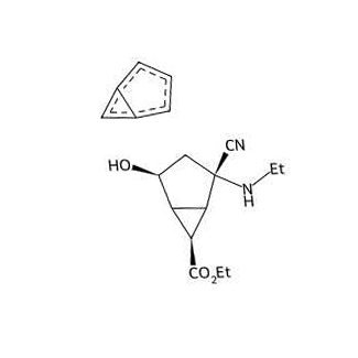 CCN[C@@]1(C#N)C[C@H](O)C2C1[C@H]2C(=O)OCC.c1cc2cc-2c1